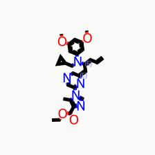 C=C/C=C(\C=C1/CN=CC(n2cnc(C(=O)OCC)c2C)=N1)N(CC1CC1)c1cc(OC)cc(OC)c1